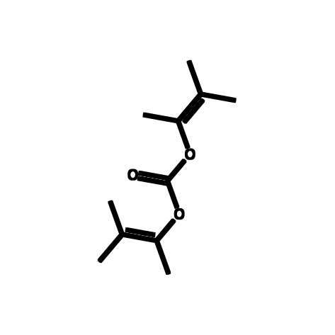 CC(C)=C(C)OC(=O)OC(C)=C(C)C